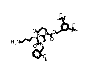 COc1ccccc1CN1CC2N(C(=O)OCc3cc(C(F)(F)F)cc(C(F)(F)F)c3)CCC(=O)N2[C@@H](CCCCN)C1=O